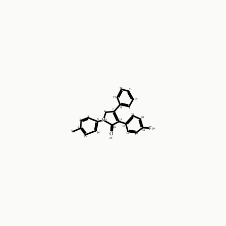 Cc1ccc(N2CC(c3ccccc3)=C(c3ccc(F)cc3)C2=O)cc1